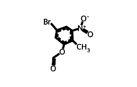 Cc1c(OC=O)cc(Br)cc1[N+](=O)[O-]